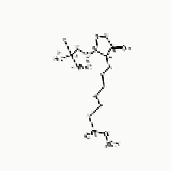 CCCCCCCCCCOC(=O)CCCCCCC1C(=O)CCC1SCC(C)(O)CCCCC